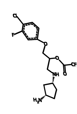 N[C@H]1CC[C@@H](NCC(COc2ccc(Cl)c(F)c2)OC(=O)C(F)(F)F)C1